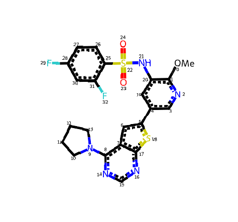 COc1ncc(-c2cc3c(N4CCCC4)ncnc3s2)cc1NS(=O)(=O)c1ccc(F)cc1F